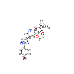 CC1(C)CC2(OCCO2)c2cc(C3=NC(c4ccc(Br)cc4)=NC3)cnc2O1